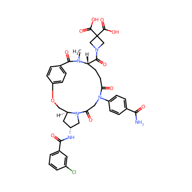 CN1C(=O)c2ccc(cc2)OC[C@@H]2C[C@@H](NC(=O)c3cccc(Cl)c3)CN2C(=O)CN(c2ccc(C(N)=O)cc2)C(=O)CC[C@H]1C(=O)N1CC(C(=O)O)(C(=O)O)C1